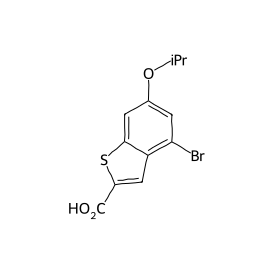 CC(C)Oc1cc(Br)c2cc(C(=O)O)sc2c1